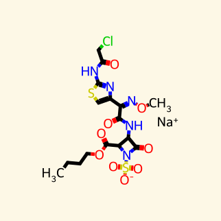 CCCCOC(=O)C1C(NC(=O)C(=NOC)c2csc(NC(=O)CCl)n2)C(=O)N1S(=O)(=O)[O-].[Na+]